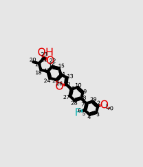 COc1ccc(F)c(-c2ccc(-c3cc4ccc(CC(C)C(=O)O)cc4o3)cc2)c1